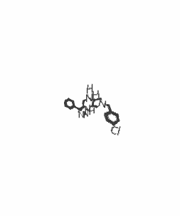 Clc1ccc(CN2C[C@@H]3[C@@H](C2)NCc2c(-c4ccccc4)nnn23)cc1